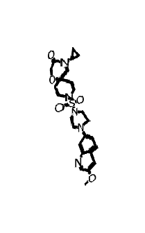 COc1cnc2cc(N3CCN(S(=O)(=O)N4CCC5(CC4)CN(C4CC4)C(=O)CO5)CC3)ccc2c1